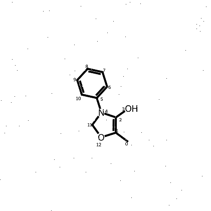 CC1=C(O)N(c2ccccc2)CO1